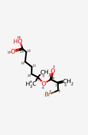 C=C(CBr)C(=O)OC(C)(C)CCCCC(=O)O